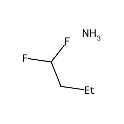 CCCC(F)F.N